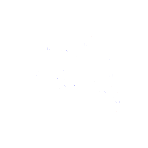 Cc1cc(F)c(Nc2nc(-c3ccc4c(c3)N(C3CC(N5CCCCC5)C3)C(=O)C43CCN(C(=O)C4CCC(C(=O)N5CCC(Nc6cccc7c6C(=O)N(C6CCC(=O)NC6=O)C7=O)CC5)CC4)CC3)cc3ncn(C(C)C)c23)cc1C(=O)NC(C)C